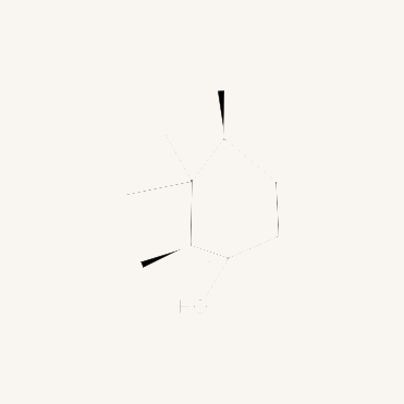 C[C@H]1CC[C@@](C)(O)[C@@H](C)C1(C)C